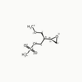 COC[C@H](COS(C)(=O)=O)[C@@H]1CO1